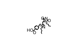 CCCCc1ncc(/C=C2/C(=O)N(C)C(=O)N2CCCC)n1Cc1ccc(C(=O)O)cc1